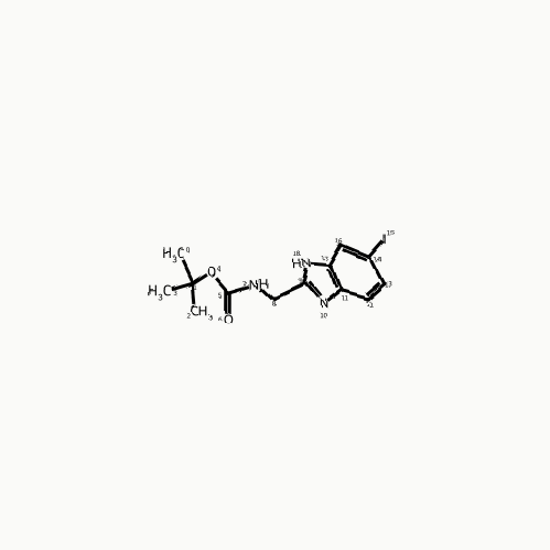 CC(C)(C)OC(=O)NCc1nc2ccc(I)cc2[nH]1